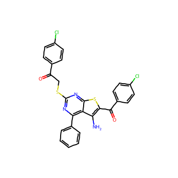 Nc1c(C(=O)c2ccc(Cl)cc2)sc2nc(SCC(=O)c3ccc(Cl)cc3)nc(-c3ccccc3)c12